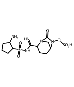 N=C(NS(=O)(=O)C1CCCC1N)C1CCC2CN1C(=O)N2OS(=O)(=O)O